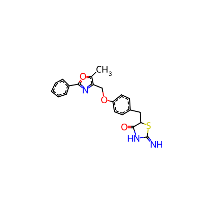 Cc1oc(-c2ccccc2)nc1COc1ccc(CC2SC(=N)NC2=O)cc1